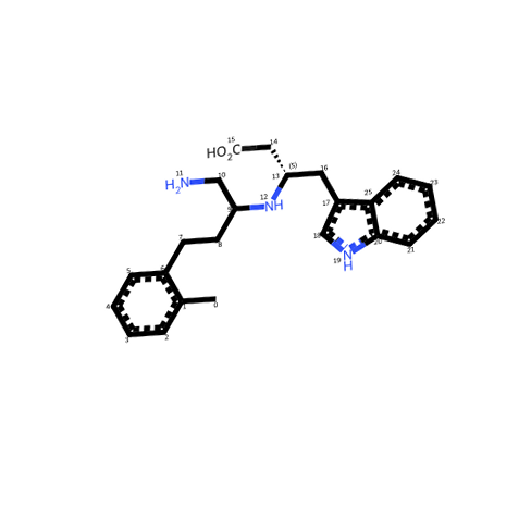 Cc1ccccc1CCC(CN)N[C@H](CC(=O)O)Cc1c[nH]c2ccccc12